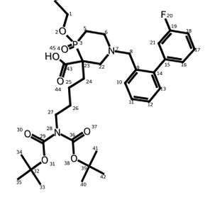 CCOP1(=O)CCN(Cc2ccccc2-c2cccc(F)c2)CC1(CCCCN(C(=O)OC(C)(C)C)C(=O)OC(C)(C)C)C(=O)O